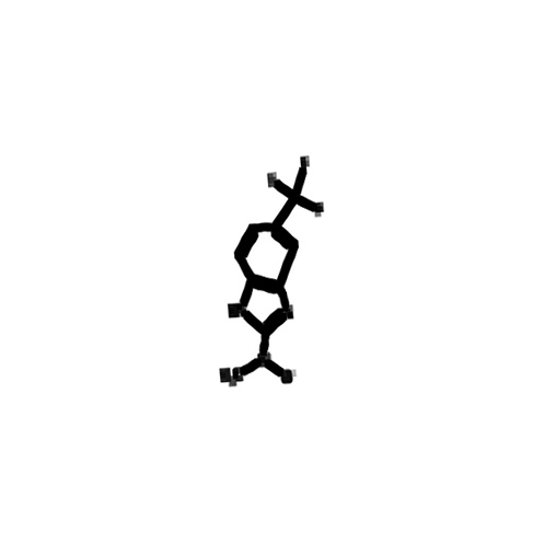 C[S+]([O-])c1nc2cc(C(F)(F)F)ccc2[nH]1